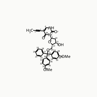 CC#Cc1c[nH]c(=O)n([C@H]2C[C@@H](O)[C@@H](COC(c3ccccc3)(c3ccc(OC)cc3)c3ccc(OC)cc3)O2)c1=O